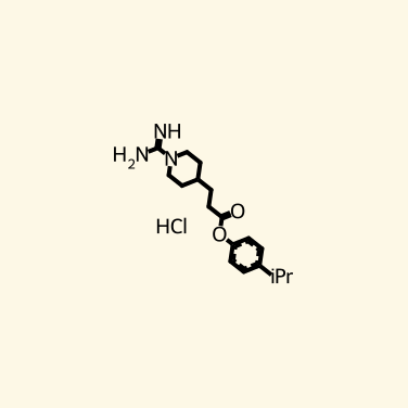 CC(C)c1ccc(OC(=O)CCC2CCN(C(=N)N)CC2)cc1.Cl